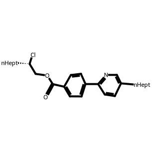 CCCCCCCc1ccc(-c2ccc(C(=O)OC[C@@H](Cl)CCCCCCC)cc2)nc1